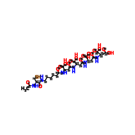 CC(=O)NC(CS)C(=O)NCCCCCC(=O)NC(CC(=O)NC(CC(=O)NC(CC(=O)NC(CC(=O)O)C(=O)O)C(=O)O)C(=O)O)C(=O)O